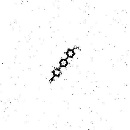 Cc1ccc(-c2ccc(-c3ncc(C#N)cn3)cc2)cc1